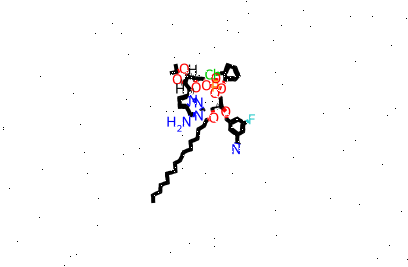 CCCCCCCCCCCCCCCCOC[C@@H](COP(=O)(OC[C@@]1(C)O[C@@H](c2ccc3c(N)ncnn23)[C@@H]2OC(C)(C)O[C@@H]21)Oc1ccccc1Cl)OCc1cc(F)cc(C#N)c1